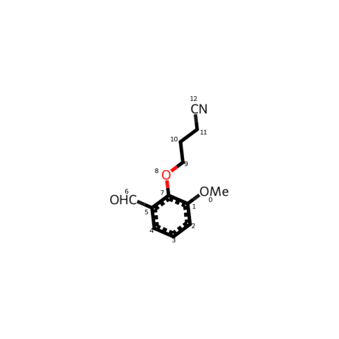 COc1cccc(C=O)c1OCCCC#N